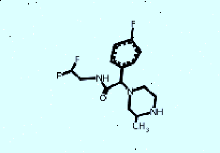 CC1CN(C(C(=O)NCC(F)F)c2ccc(F)cc2)CCN1